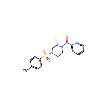 [C-]#[N+]c1ccc(S(=O)(=O)N2CCN(C(=O)c3ccccn3)[C@@H](C)C2)cc1